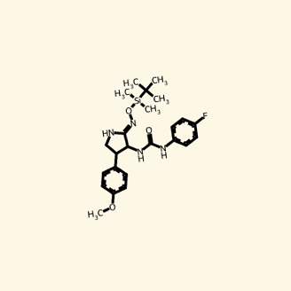 COc1ccc(C2CN/C(=N\O[Si](C)(C)C(C)(C)C)C2NC(=O)Nc2ccc(F)cc2)cc1